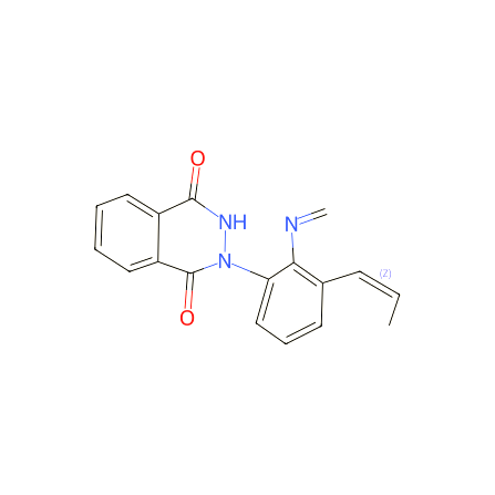 C=Nc1c(/C=C\C)cccc1-n1[nH]c(=O)c2ccccc2c1=O